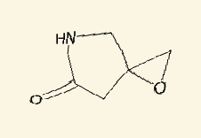 O=C1CC2(CN1)CO2